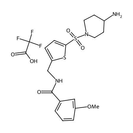 COc1cccc(C(=O)NCc2ccc(S(=O)(=O)N3CCC(N)CC3)s2)c1.O=C(O)C(F)(F)F